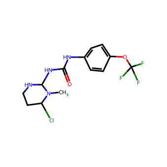 CN1C(Cl)CCNC1NC(=O)Nc1ccc(OC(F)(F)F)cc1